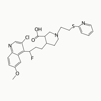 COc1ccc2ncc(Cl)c(C(F)CCC3CCN(CCSc4ccccn4)CC3C(=O)O)c2c1